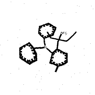 CCC(N)(CC)c1ccc(C)cc1N(c1ccccc1)c1ccccc1